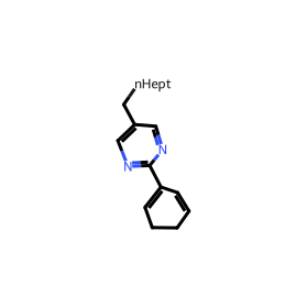 CCCCCCCCc1cnc(C2=CCCC=C2)nc1